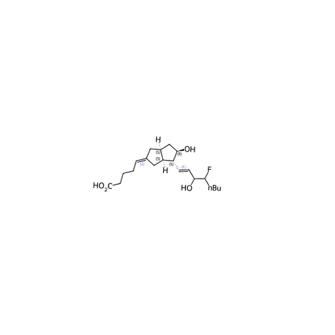 CCCCC(F)C(O)/C=C/[C@@H]1[C@H]2C/C(=C\CCCC(=O)O)C[C@H]2C[C@H]1O